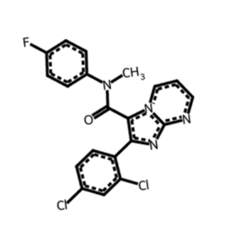 CN(C(=O)c1c(-c2ccc(Cl)cc2Cl)nc2ncccn12)c1ccc(F)cc1